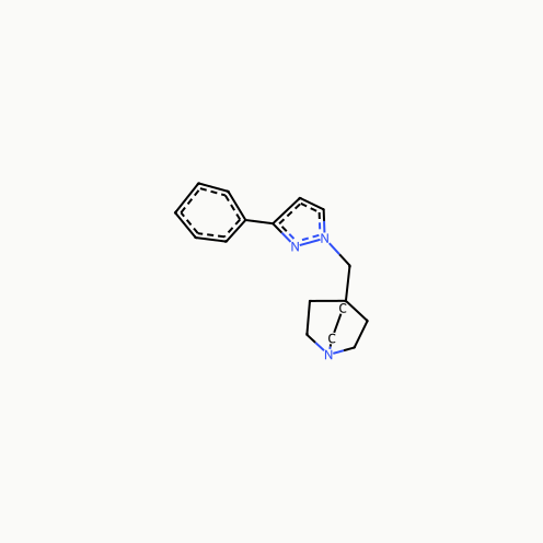 c1ccc(-c2ccn(CC34CCN(CC3)CC4)n2)cc1